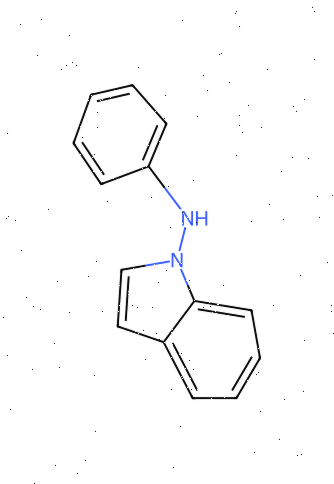 c1ccc(Nn2ccc3ccccc32)cc1